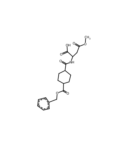 COC(=O)CC(NC(=O)C1CCC(C(=O)OCc2ccccc2)CC1)C(=O)O